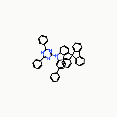 c1ccc(-c2ccc3c4c(C5(c6ccccc6)c6ccccc6-c6ccccc65)cccc4n(-c4nc(-c5ccccc5)nc(-c5ccccc5)n4)c3c2)cc1